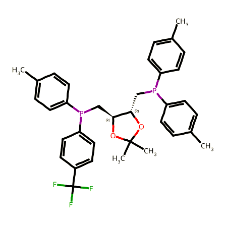 Cc1ccc(P(C[C@@H]2OC(C)(C)O[C@H]2CP(c2ccc(C)cc2)c2ccc(C(F)(F)F)cc2)c2ccc(C)cc2)cc1